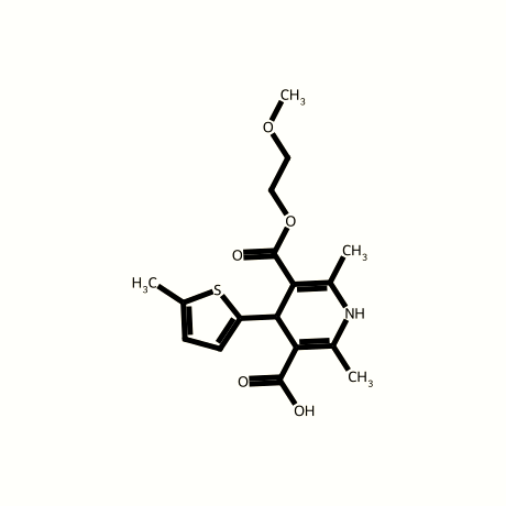 COCCOC(=O)C1=C(C)NC(C)=C(C(=O)O)C1c1ccc(C)s1